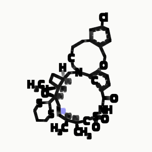 CO[C@]1(C2SCCCS2)/C=C/[C@H](C)[C@H](C)CS(=O)(=O)NC(=O)c2ccc3c(c2)N(CCCCc2cc(Cl)ccc2CO3)C[C@@H]2CC[C@H]21